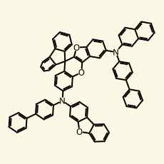 c1ccc(-c2ccc(N(c3ccc4c(c3)Oc3c(oc5ccc(N(c6ccc(-c7ccccc7)cc6)c6ccc7ccccc7c6)cc35)C43c4ccccc4-c4ccccc43)c3ccc4c(c3)oc3ccccc34)cc2)cc1